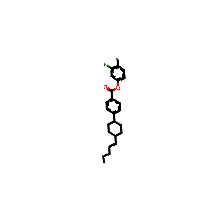 CCCCCC1CCC(c2ccc(C(=O)Oc3ccc(C)c(F)c3)cc2)CC1